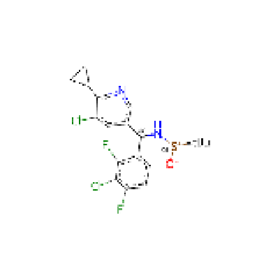 CC(C)(C)[S@@+]([O-])N[C@H](c1cnc(C2CC2)c(Cl)c1)c1ccc(F)c(Cl)c1F